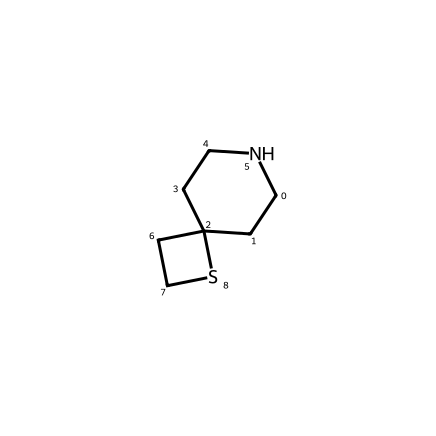 C1CC2(CCN1)CCS2